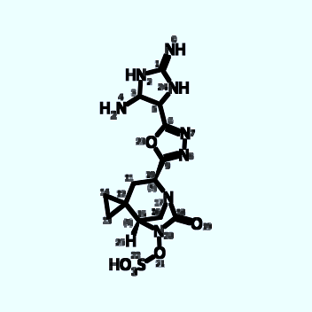 N=C1NC(N)C(c2nnc([C@@H]3CC4(CC4)[C@@H]4CN3C(=O)N4OS(=O)(=O)O)o2)N1